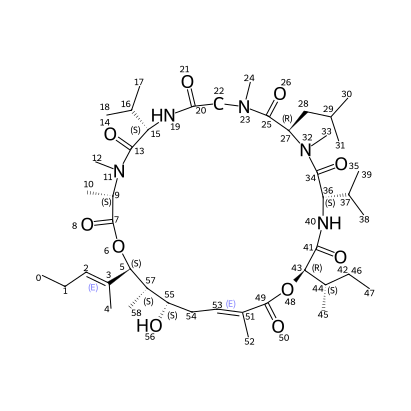 CC/C=C(\C)[C@H]1OC(=O)[C@H](C)N(C)C(=O)[C@H](C(C)C)NC(=O)CN(C)C(=O)[C@@H](CC(C)C)N(C)C(=O)[C@H](C(C)C)NC(=O)[C@@H]([C@@H](C)CC)OC(=O)/C(C)=C/C[C@H](O)[C@@H]1C